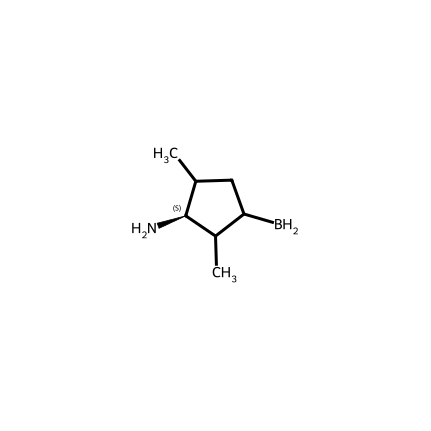 BC1CC(C)[C@H](N)C1C